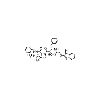 Cc1ccccc1CNC(=O)[C@H]1N(C(=O)[C@@H](O)[C@H](Cc2ccccc2)NC(=O)CSc2nc3ccccc3[nH]2)CSC1(C)C